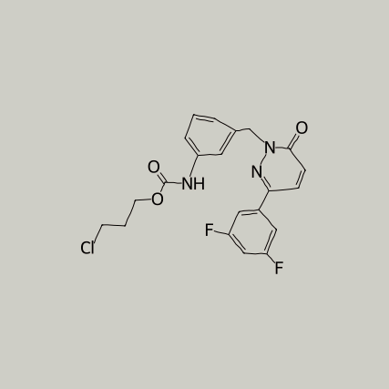 O=C(Nc1cccc(Cn2nc(-c3cc(F)cc(F)c3)ccc2=O)c1)OCCCCl